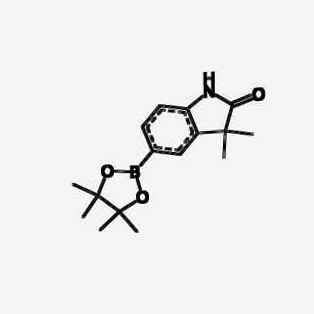 CC1(C)C(=O)Nc2ccc(B3OC(C)(C)C(C)(C)O3)cc21